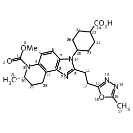 COC(=O)N1c2ccc3c(nc(CCc4nnc(C)o4)n3C3CCC(C(=O)O)CC3)c2CC[C@@H]1C